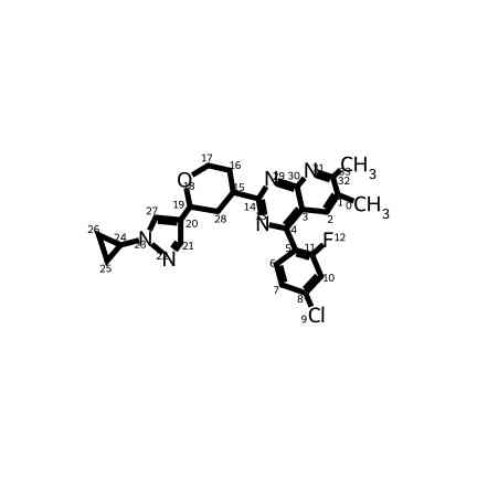 Cc1cc2c(-c3ccc(Cl)cc3F)nc(C3CCOC(c4cnn(C5CC5)c4)C3)nc2nc1C